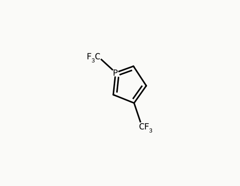 FC(F)(F)C1=CC=P(C(F)(F)F)=C1